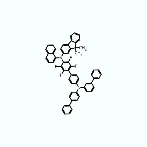 CC1(C)c2ccccc2-c2ccc(N(c3c(F)c(F)c(-c4ccc(N(c5ccc(-c6ccccc6)cc5)c5cccc(-c6ccccc6)c5)cc4)c(F)c3F)c3cccc4ccccc34)cc21